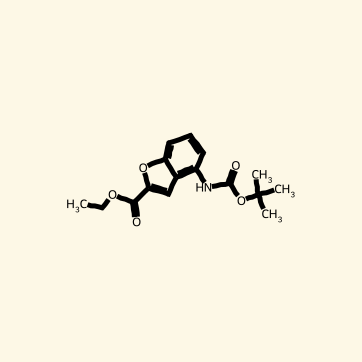 CCOC(=O)c1cc2c(NC(=O)OC(C)(C)C)cccc2o1